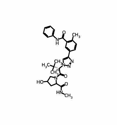 CNC(=O)C1CC(O)CN1C(=O)[C@@H](n1cc(-c2ccc(C)c(C(=O)Nc3ccccc3)c2)nn1)C(C)(C)C